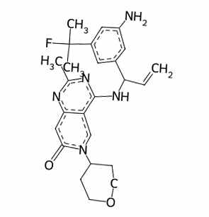 C=CC(Nc1nc(C)nc2cc(=O)n(C3CCOCC3)cc12)c1cc(N)cc(C(C)(C)F)c1